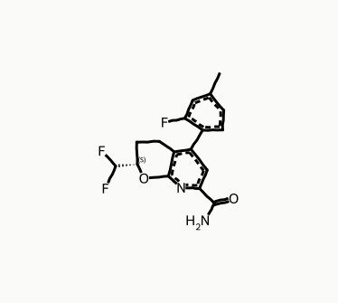 Cc1ccc(-c2cc(C(N)=O)nc3c2CC[C@@H](C(F)F)O3)c(F)c1